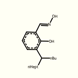 CCCCCCCC(CCCC)c1cccc(C=NO)c1O